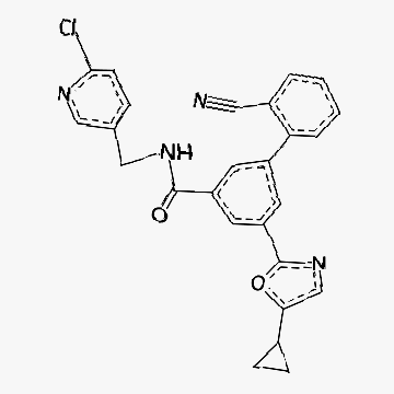 N#Cc1ccccc1-c1cc(C(=O)NCc2ccc(Cl)nc2)cc(-c2ncc(C3CC3)o2)c1